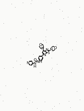 O=C(Nc1ccncc1)Nc1ccc(-c2cc(N3CCOCC3)c3nc(N4CCOCC4)sc3n2)cc1